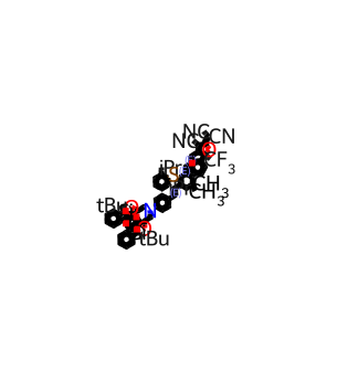 CC(C)c1cccc(C(C)C)c1SC1=C(/C=C/c2ccc(N(CCO[Si](c3ccccc3)(c3ccccc3)C(C)(C)C)CCO[Si](c3ccccc3)(c3ccccc3)C(C)(C)C)cc2)CC(C)(C)C/C1=C\C=C\C1=C(C#N)C(=C(C#N)C#N)OC1(c1ccccc1)C(F)(F)F